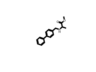 COC(=O)C(C)NCc1ccc(-c2ccccc2)cc1